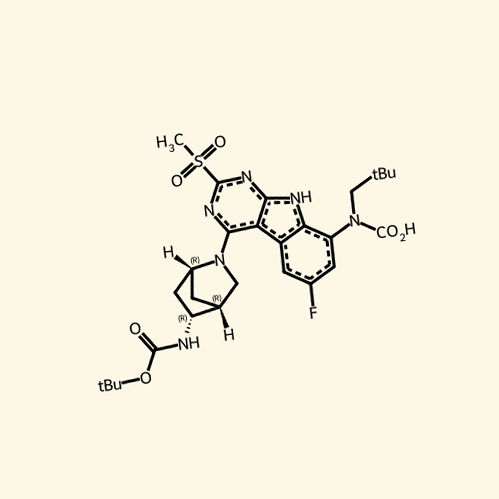 CC(C)(C)CN(C(=O)O)c1cc(F)cc2c1[nH]c1nc(S(C)(=O)=O)nc(N3C[C@H]4C[C@@H]3C[C@H]4NC(=O)OC(C)(C)C)c12